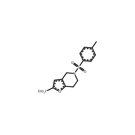 CCOC(=O)c1cc2c(o1)CCN(S(=O)(=O)c1ccc(C)cc1)C2